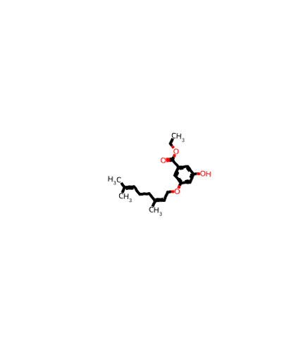 CCOC(=O)c1cc(O)cc(OCC=C(C)CCC=C(C)C)c1